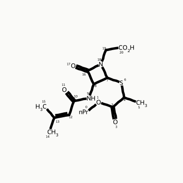 CCCOC(=O)C(C)SC1C(NC(=O)C=C(C)C)C(=O)N1CC(=O)O